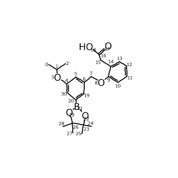 CC(C)Oc1cc(COc2ccccc2CC(=O)O)cc(B2OC(C)(C)C(C)(C)O2)c1